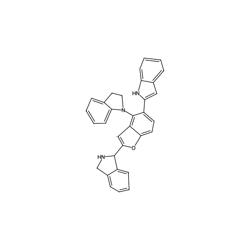 [c]1c(C2NCc3ccccc32)oc2ccc(-c3cc4ccccc4[nH]3)c(N3CCc4ccccc43)c12